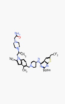 CNc1nc(NC2CCN(Cc3ccc4c(cc(C#N)n4C[C@H](C)N4CCN(CC(N)=O)CC4)c3C)CC2)c2cc(CC(F)(F)F)sc2n1